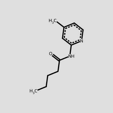 CCCCC(=O)Nc1cc(C)ccn1